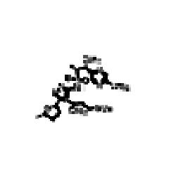 COCCC(OC)n1c(NS(=O)(=O)[C@@H](C)[C@H](OC)c2cnc(OC)cn2)nnc1[C@H]1CC[C@@H](C)O1